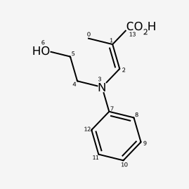 CC(=CN(CCO)c1ccccc1)C(=O)O